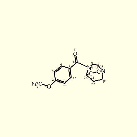 COc1ccc(C(=O)N2CCN3CCC2CC3)cc1